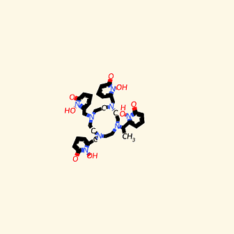 CC(c1cccc(=O)n1O)N1CCN(Cc2cccc(=O)n2O)CCN(Cc2cccc(=O)n2O)CCN(Cc2cccc(=O)n2O)CC1